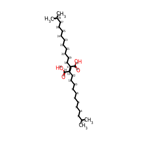 CC(C)CCCCCCCCCCC(C(=O)O)=C(CCCCCCCCCCC(C)C)C(=O)O